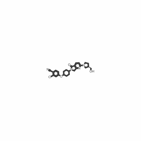 N#Cc1ccc(OC2CCC(N3Cc4nc(N5CC[C@@H](CO)C5)ccc4C3=O)CC2)cc1Cl